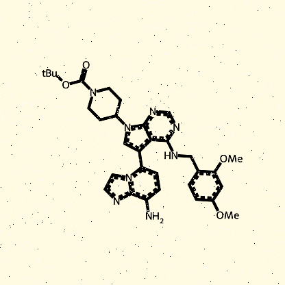 COc1ccc(CNc2ncnc3c2c(-c2ccc(N)c4nccn24)cn3C2CCN(C(=O)OC(C)(C)C)CC2)c(OC)c1